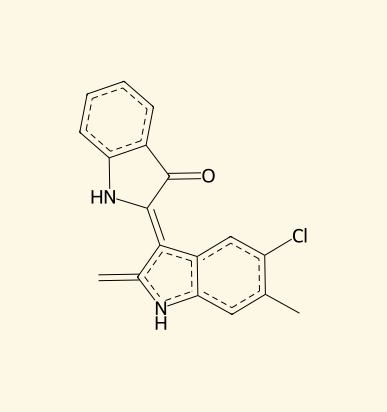 C=c1[nH]c2cc(C)c(Cl)cc2/c1=C1/Nc2ccccc2C1=O